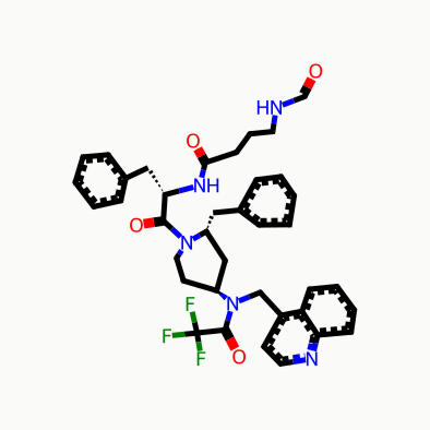 O=CNCCCC(=O)N[C@@H](Cc1ccccc1)C(=O)N1CC[C@H](N(Cc2ccnc3ccccc23)C(=O)C(F)(F)F)C[C@H]1Cc1ccccc1